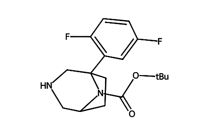 CC(C)(C)OC(=O)N1C2CCC1(c1cc(F)ccc1F)CNC2